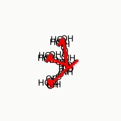 CCCCCCCNC(=O)C(CCCCNC(=O)COCCOCCOCCO[C@@H]1O[C@H](CO)[C@H](O)[C@H](O)[C@H]1NC(C)=O)NC(=O)[C@H](CCCCNC(=O)COCCOCCOCCO[C@@H]1O[C@H](CO)[C@H](O)[C@H](O)[C@H]1NC(C)=O)NC(=O)COCCOCCOCCO[C@@H]1O[C@H](CO)[C@H](O)[C@H](O)[C@H]1NC(C)=O